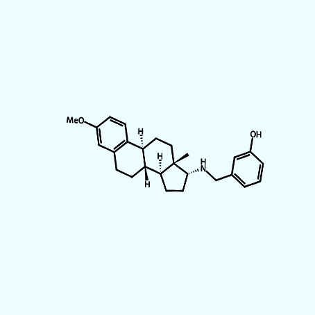 COc1ccc2c(c1)CC[C@@H]1[C@@H]2CC[C@]2(C)[C@H](NCc3cccc(O)c3)CC[C@@H]12